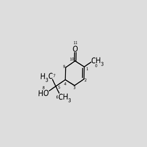 CC1=CCC(C(C)(C)O)CC1=O